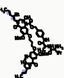 C/C=C/C1=CN2C(=O)c3cc(OC)c(OCCCOc4cc5c(cc4OC)C(=O)N(/C=C(/C=C/C)CC)C[C@H](O)N5C(=O)OCc4ccc(NC(=O)[C@H](C)NC(=O)[C@@H](N)C(C)C)cc4)cc3N=C[C@@H]2C1